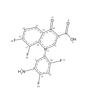 Nc1cc(-n2cc(C(=O)O)c(=O)c3ccc(F)c(F)c32)c(F)cc1F